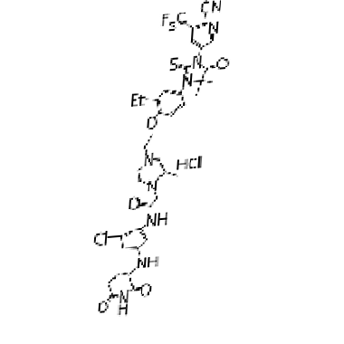 CCc1cc(N2C(=S)N(c3cnc(C#N)c(C(F)(F)F)c3)C(=O)C2(C)C)ccc1OCCN1CCN(CC(=O)Nc2cc(Cl)cc(NC3CCC(=O)NC3=O)c2)C(C)C1.Cl